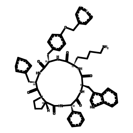 NCCCC[C@@H]1NC(=O)[C@@H](Cc2c[nH]c3ccccc23)NC(=O)[C@H](c2ccccc2)NC(=O)[C@@H]2CCCN2C(=O)[C@H](Cc2ccccc2)NC(=O)[C@H](Cc2ccc(OCc3ccccc3)cc2)NC1=O